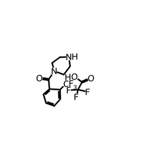 O=C(O)C(F)(F)F.O=C(c1ccccc1C(F)(F)F)N1CCNCC1